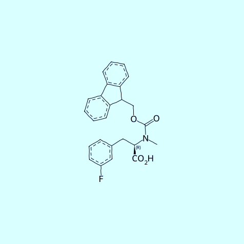 CN(C(=O)OCC1c2ccccc2-c2ccccc21)[C@H](Cc1cccc(F)c1)C(=O)O